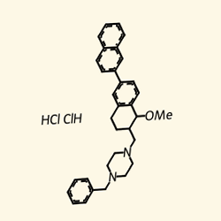 COC1c2ccc(-c3ccc4ccccc4c3)cc2CCC1CN1CCN(Cc2ccccc2)CC1.Cl.Cl